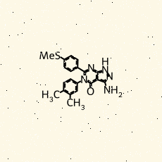 CSc1ccc(-c2nc3[nH]nc(N)c3c(=O)n2-c2ccc(C)c(C)c2)cc1